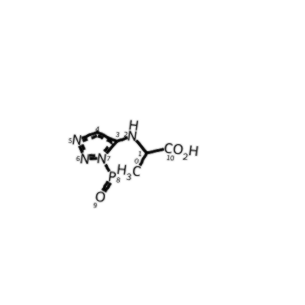 CC(Nc1cnnn1P=O)C(=O)O